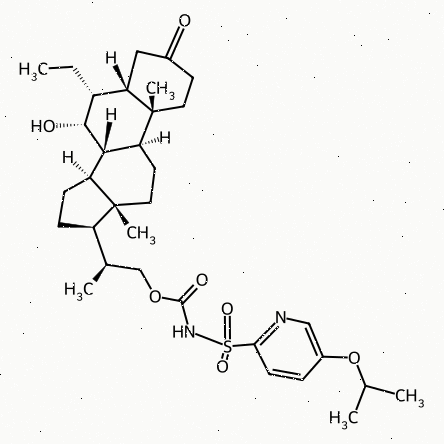 CC[C@H]1[C@@H](O)[C@@H]2[C@H](CC[C@]3(C)[C@@H]([C@H](C)COC(=O)NS(=O)(=O)c4ccc(OC(C)C)cn4)CC[C@@H]23)[C@@]2(C)CCC(=O)C[C@@H]12